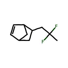 CC(F)(F)CC1CC2C=CC1C2